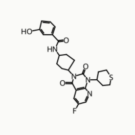 O=C(NC1CCC(n2c(=O)c3cc(F)cnc3n(C3CCSCC3)c2=O)CC1)c1cccc(O)c1